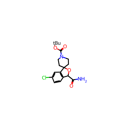 CC(C)(C)OC(=O)N1CCC2(CC1)OC(C(N)=O)c1ccc(Cl)cc12